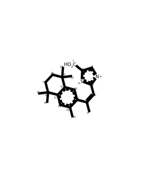 C/C(=C/c1ncc(C(=O)O)s1)c1cc2c(cc1C)C(C)(C)CCC2(C)C